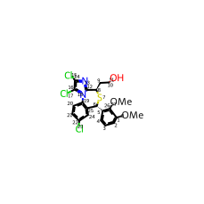 COc1cccc([C@H]2S[C@H](CCO)c3nc(Cl)c(Cl)n3-c3ccc(Cl)cc32)c1OC